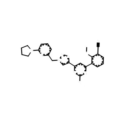 COc1c(C#N)cccc1-c1cc(-c2cn(Cc3cccc(N4CCCC4)n3)nn2)nc(N)n1